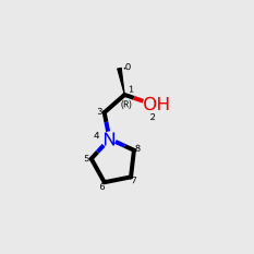 [CH2][C@@H](O)CN1CCCC1